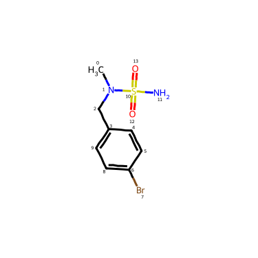 CN(Cc1ccc(Br)cc1)S(N)(=O)=O